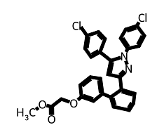 COC(=O)COc1cccc(-c2ccccc2-c2cc(-c3ccc(Cl)cc3)n(-c3ccc(Cl)cc3)n2)c1